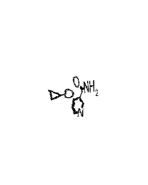 NC(=O)c1cnccc1OC1CC1